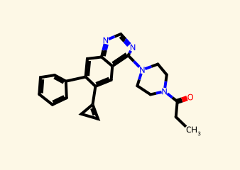 CCC(=O)N1CCN(c2ncnc3cc(-c4ccccc4)c(C4=CC4)cc23)CC1